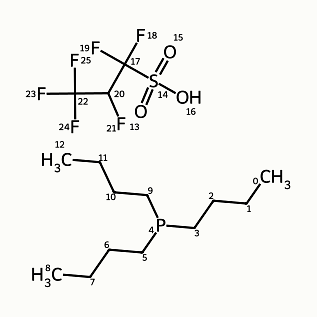 CCCCP(CCCC)CCCC.O=S(=O)(O)C(F)(F)C(F)C(F)(F)F